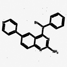 Nc1nc(N(Br)c2ccccc2)c2cc(-c3ccncc3)ccc2n1